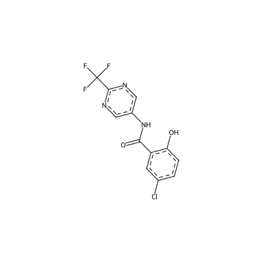 O=C(Nc1cnc(C(F)(F)F)nc1)c1cc(Cl)ccc1O